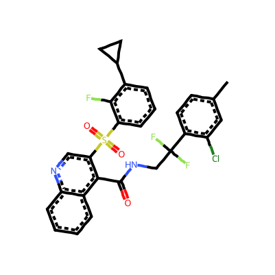 Cc1ccc(C(F)(F)CNC(=O)c2c(S(=O)(=O)c3cccc(C4CC4)c3F)cnc3ccccc23)c(Cl)c1